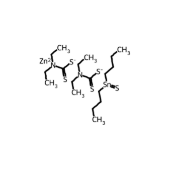 CCC[CH2][Sn](=[S])[CH2]CCC.CCN(CC)C(=S)[S-].CCN(CC)C(=S)[S-].[Zn+2]